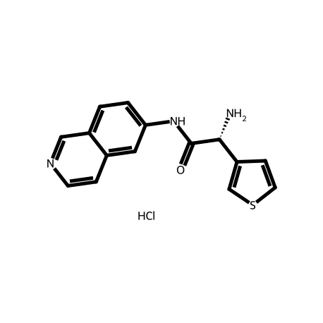 Cl.N[C@@H](C(=O)Nc1ccc2cnccc2c1)c1ccsc1